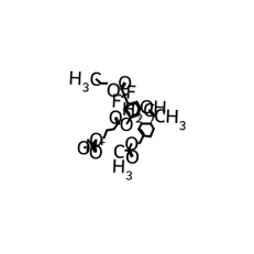 C=C(C)[C@H]1CCC(COC(C)=O)=C[C@@H]1c1c(O)cc(C(F)(F)C(=O)OCCC)cc1OC(=O)CCCO[N+](=O)[O-]